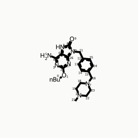 CCCCOc1nc(N)c2[nH]c(=O)n(Cc3ccc(CN4CCN(C)CC4)cc3)c2n1